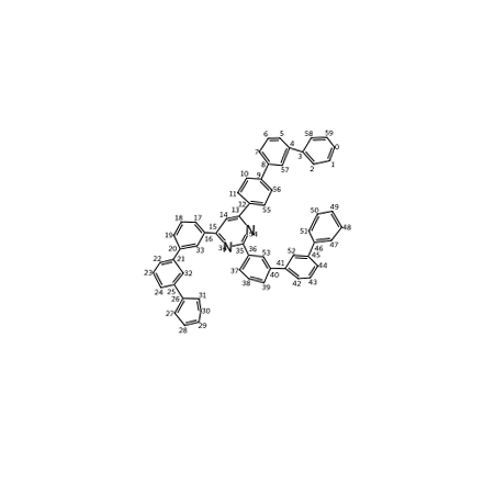 c1ccc(-c2cccc(-c3ccc(-c4cc(-c5cccc(-c6cccc(-c7ccccc7)c6)c5)nc(-c5cccc(-c6cccc(-c7ccccc7)c6)c5)n4)cc3)c2)cc1